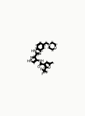 Cc1cc(C(=O)Nc2c[nH]nc2-c2nc3cc(CN4CCOCC4)ccc3[nH]2)c(C(F)(F)F)o1